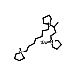 CC(CC[N+]1(C(C)(C)C)CCCC1)[N+]1(CCCCCCC[N+]2(C)CCCC2)CCCC1